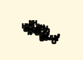 CCC(C)(C)C(=O)SCCOP(=O)(OC[C@H]1O[C@@H](n2cnc3c(=O)[nH]c(N)nc32)[C@](C)(O)[C@@H]1O)N1CCOCC1